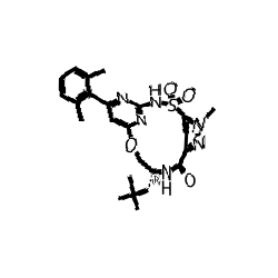 Cc1cccc(C)c1-c1cc2nc(n1)NS(=O)(=O)c1cc(nn1C)C(=O)N[C@H](CC(C)(C)C)CO2